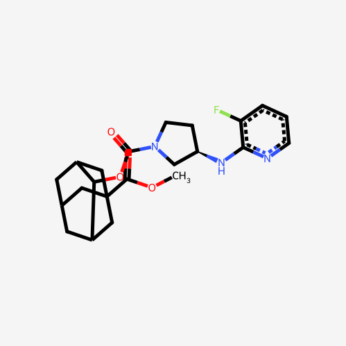 COC(=O)C12CC3CC(C1)C(OC(=O)N1CC[C@@H](Nc4ncccc4F)C1)C(C3)C2